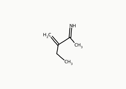 C=C(CC)C(C)=N